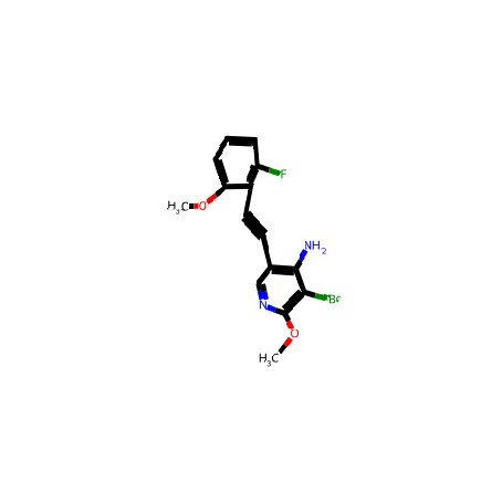 COc1cccc(F)c1C#Cc1cnc(OC)c(Br)c1N